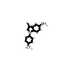 Cc1cn(-c2ccc(C(F)(F)F)cc2)c2ccc(N)cc12